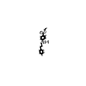 CCOC(=O)c1ccc(NCCCc2ccccc2)cc1